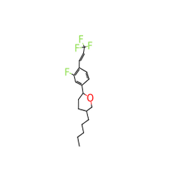 CCCCCC1CCC(c2ccc(/C=C/C(F)(F)F)c(F)c2)OC1